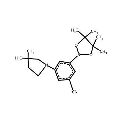 CC1(C)CCN(c2cc(C#N)cc(B3OC(C)(C)C(C)(C)O3)c2)C1